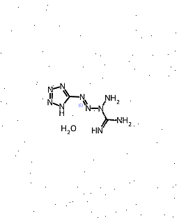 N=C(N)N(N)/N=N/c1nnn[nH]1.O